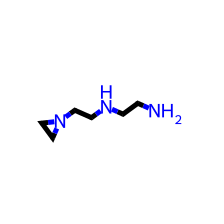 NCCNCCN1CC1